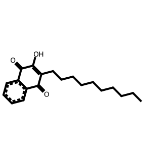 CCCCCCCCCCC1=C(O)C(=O)c2ccccc2C1=O